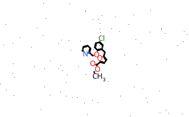 CCOC(=O)c1ccc(Cc2cc(Cl)ccc2OCc2ccccn2)o1